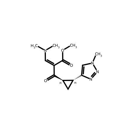 COC(=O)C(=CN(C)C)C(=O)[C@@H]1C[C@H]1c1cn(C)nn1